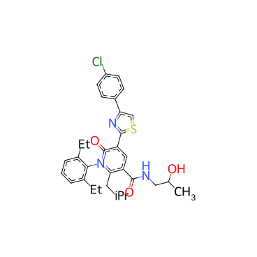 CCc1cccc(CC)c1-n1c(CC(C)C)c(C(=O)NCC(C)O)cc(-c2nc(-c3ccc(Cl)cc3)cs2)c1=O